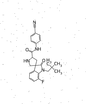 CC(C)(C)CN1C(=O)C2(CNC(C(=O)Nc3ccc(C#N)cc3)C2)c2cccc(F)c21